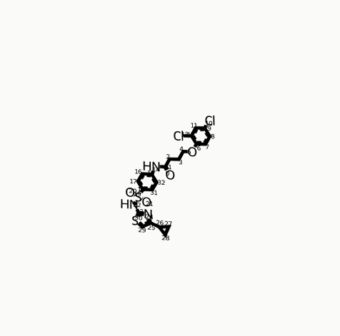 O=C(CCCOc1ccc(Cl)cc1Cl)Nc1ccc(S(=O)(=O)Nc2nc(C3CC3)cs2)cc1